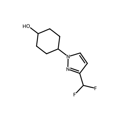 OC1CCC(n2ccc(C(F)F)n2)CC1